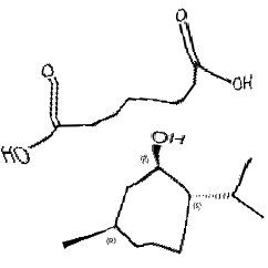 CC(C)[C@@H]1CC[C@@H](C)C[C@H]1O.O=C(O)CCCC(=O)O